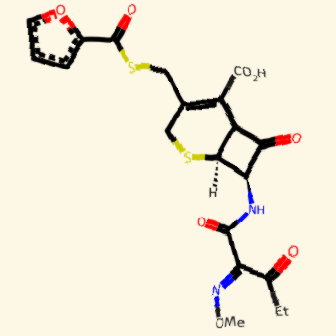 CCC(=O)/C(=N\OC)C(=O)N[C@@H]1C(=O)C2C(C(=O)O)=C(CSC(=O)c3ccco3)CS[C@@H]21